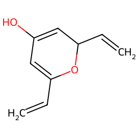 C=CC1=CC(O)=CC(C=C)O1